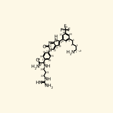 C[C@H](N)CCCc1cc(-c2cc3cn(-c4ccc([C@@H](NCCCNC(=N)N)C(N)=O)cc4)c(=O)nc3[nH]2)cc(C(F)(F)F)c1